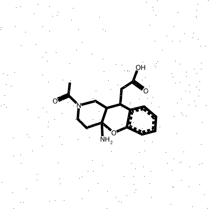 CC(=O)N1CCC2(N)Oc3ccccc3C(CC(=O)O)C2C1